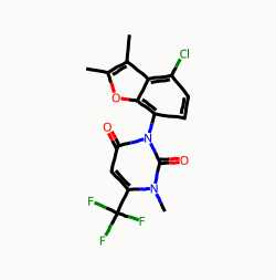 Cc1oc2c(-n3c(=O)cc(C(F)(F)F)n(C)c3=O)ccc(Cl)c2c1C